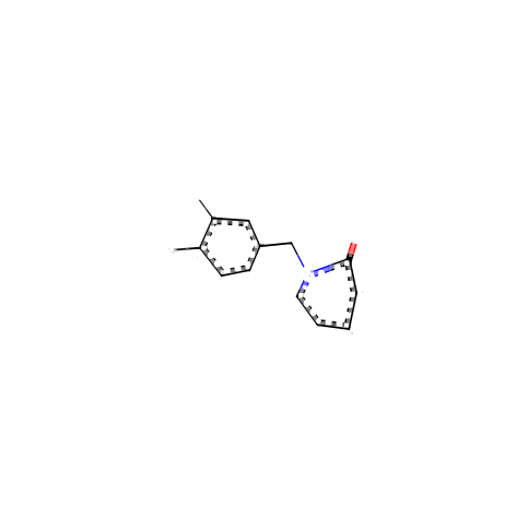 O=C(O)c1cc(Cn2ccccc2=O)ccc1[N+](=O)[O-]